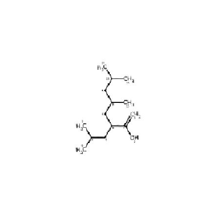 C=C(O)C(CC(C)C)CC(C)CC(C)C